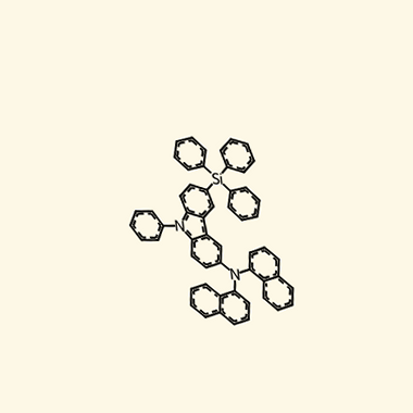 c1ccc(-n2c3ccc(N(c4cccc5ccccc45)c4cccc5ccccc45)cc3c3cc([Si](c4ccccc4)(c4ccccc4)c4ccccc4)ccc32)cc1